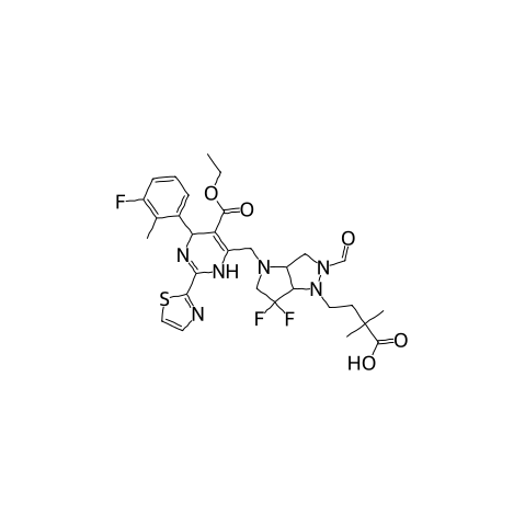 CCOC(=O)C1=C(CN2CC(F)(F)C3C2CN(C=O)N3CCC(C)(C)C(=O)O)NC(c2nccs2)=NC1c1cccc(F)c1C